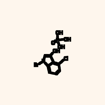 O=P(O)(O)O.Oc1cn(Br)c2cccc(Cl)c12